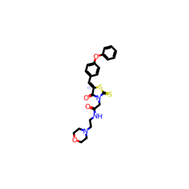 O=C(CN1C(=O)/C(=C/c2ccc(Oc3ccccc3)cc2)SC1=S)NCCN1CCOCC1